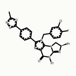 CCN1C(=O)c2nc(-c3ccc(-c4nnc(C)o4)cc3)n(Cc3ccc(F)c(Cl)c3)c2N2C[C@@H](C(C)C)N=C12